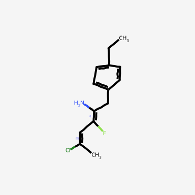 CCc1ccc(C/C(N)=C(F)/C=C(\C)Cl)cc1